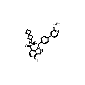 CCOc1cc(-c2ccc([C@H](C)n3ncc4c(Cl)ccc(C(=O)NC5CC6(CCC6)C5)c43)cc2)ccn1